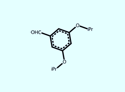 CC(C)Oc1cc([C]=O)cc(OC(C)C)c1